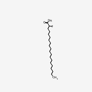 CCCCCCCCCCCCCCCCCCC(F)C(=O)O